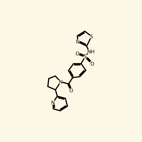 O=C(c1ccc(S(=O)(=O)Nc2nccs2)cc1)N1CCCC1c1ccccn1